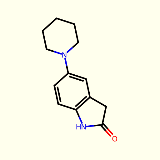 O=C1Cc2cc(N3CCCCC3)ccc2N1